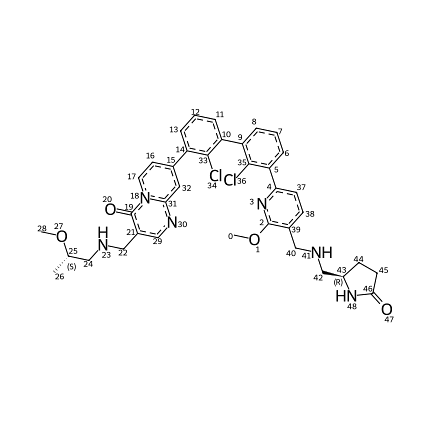 COc1nc(-c2cccc(-c3cccc(-c4ccn5c(=O)c(CNC[C@H](C)OC)cnc5c4)c3Cl)c2Cl)ccc1CNC[C@H]1CCC(=O)N1